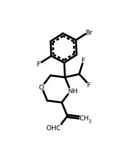 C=C(C=O)C1COCC(c2cc(Br)ccc2F)(C(F)F)N1